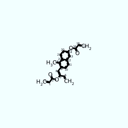 C=CC(=O)O/C(C=C)=C/c1ccc2cc(OC(=O)C=C)ccc2c1C